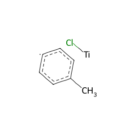 Cc1cc[c]cc1.[Cl][Ti]